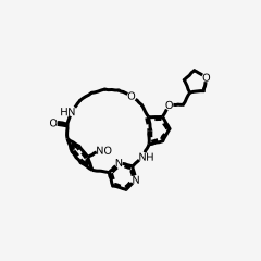 O=Nc1cc2ccc1-c1ccnc(n1)Nc1ccc(OCC3CCOC3)c(c1)COCCCCNC2=O